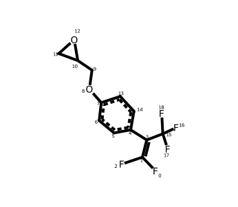 FC(F)=C(c1ccc(OCC2CO2)cc1)C(F)(F)F